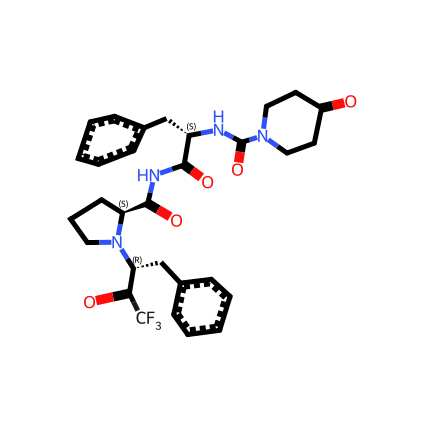 O=C1CCN(C(=O)N[C@@H](Cc2ccccc2)C(=O)NC(=O)[C@@H]2CCCN2[C@H](Cc2ccccc2)C(=O)C(F)(F)F)CC1